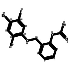 CCC(=O)Oc1ccccc1COc1cc(F)c(CC)cc1Br